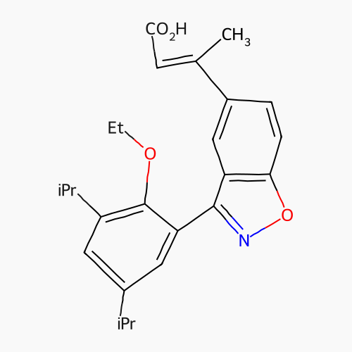 CCOc1c(-c2noc3ccc(C(C)=CC(=O)O)cc23)cc(C(C)C)cc1C(C)C